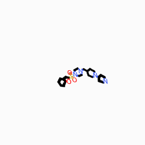 O=S(=O)(c1cc2ccccc2o1)N1CCN(CC2CCN(c3ccncc3)CC2)CC1